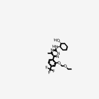 CCOCOc1cc(C(F)(F)F)ccc1-c1nnc(N[C@@H]2CCCC[C@H]2O)nc1C